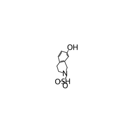 O=[SH](=O)CN1CCc2ccc(O)cc2C1